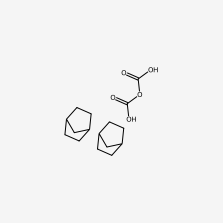 C1CC2CCC1C2.C1CC2CCC1C2.O=C(O)OC(=O)O